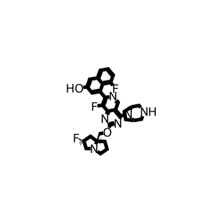 Oc1cc(-c2ncc3c(N4C5CCC4CNC5)nc(OC[C@@]45CCCN4C[C@H](F)C5)nc3c2F)c2c(F)cccc2c1